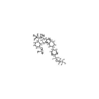 CC(C)(O[Si](C)(C)C(C)(C)C)c1ncc(-c2ccc3nc4n(c3c2)C2C[C@H]4N[C@H](C(F)(F)F)c3cccc(OC(F)F)c32)cn1